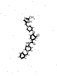 Cc1ncc(CN2CCC(Oc3ccc(C(=O)NC4CCN(Cc5ccccc5)CC4)cc3Cl)CC2)[nH]1